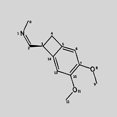 C/N=C\[C@H]1Cc2cc(OC)c(OC)cc21